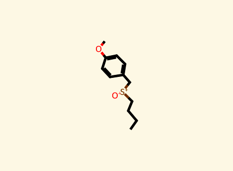 CCCC[S+]([O-])Cc1ccc(OC)cc1